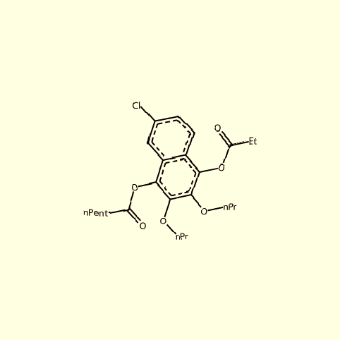 CCCCCC(=O)Oc1c(OCCC)c(OCCC)c(OC(=O)CC)c2ccc(Cl)cc12